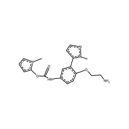 Cn1cccc1OC(=O)Nc1ccc(OCCN)c(-c2ccnn2C)c1